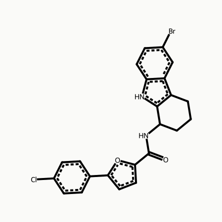 O=C(NC1CCCc2c1[nH]c1ccc(Br)cc21)c1ccc(-c2ccc(Cl)cc2)o1